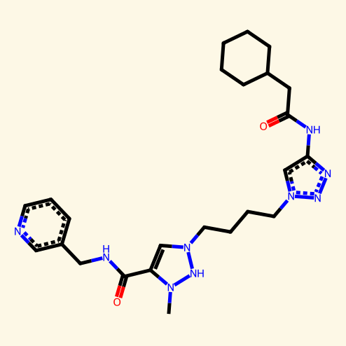 CN1NN(CCCCn2cc(NC(=O)CC3CCCCC3)nn2)C=C1C(=O)NCc1cccnc1